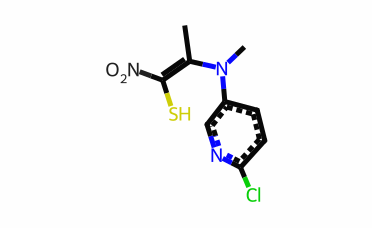 CC(=C(S)[N+](=O)[O-])N(C)c1ccc(Cl)nc1